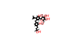 CC(C)(O)CCc1ccc(Cc2cc([C@@H]3O[C@H](CO)[C@@H](O)[C@H](O)[C@H]3O)ccc2C2CC2)cc1